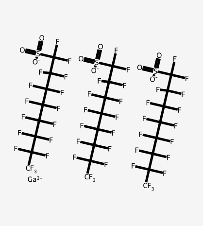 O=S(=O)([O-])C(F)(F)C(F)(F)C(F)(F)C(F)(F)C(F)(F)C(F)(F)C(F)(F)C(F)(F)F.O=S(=O)([O-])C(F)(F)C(F)(F)C(F)(F)C(F)(F)C(F)(F)C(F)(F)C(F)(F)C(F)(F)F.O=S(=O)([O-])C(F)(F)C(F)(F)C(F)(F)C(F)(F)C(F)(F)C(F)(F)C(F)(F)C(F)(F)F.[Ga+3]